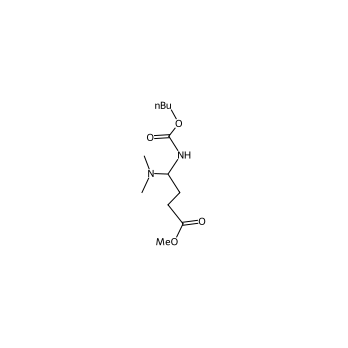 CCCCOC(=O)NC(CCC(=O)OC)N(C)C